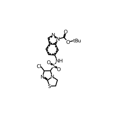 CC(C)(C)OC(=O)n1ncc2ccc(NS(=O)(=O)C3C(Cl)N=C4SCCN43)cc21